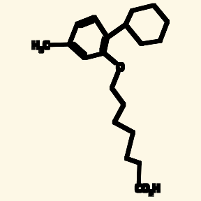 Cc1ccc(C2CCCCC2)c(OCCCCCCC(=O)O)c1